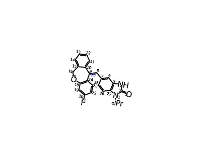 CC(C)n1c(=O)[nH]c2cc(/C=C3/c4ccccc4COc4cc(F)ccc43)ccc21